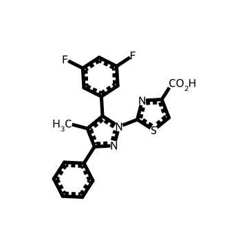 Cc1c(-c2ccccc2)nn(-c2nc(C(=O)O)cs2)c1-c1cc(F)cc(F)c1